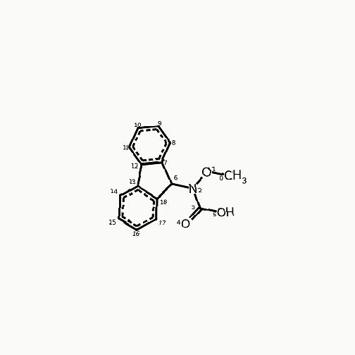 CON(C(=O)O)C1c2ccccc2-c2ccccc21